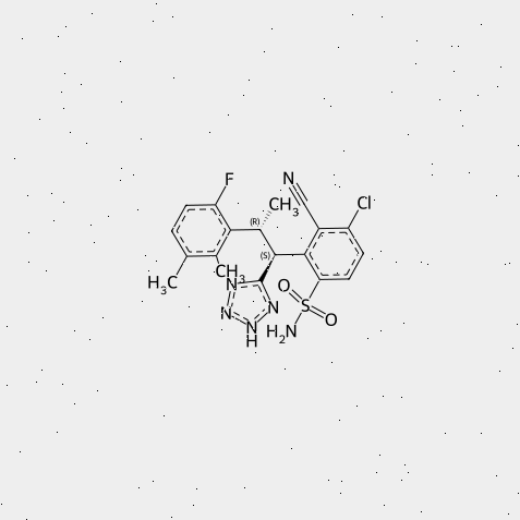 Cc1ccc(F)c([C@H](C)[C@H](c2nn[nH]n2)c2c(S(N)(=O)=O)ccc(Cl)c2C#N)c1C